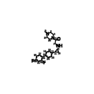 CN1CCN(C(=O)CN[C@@H]2C[C@H]2c2ccc(-c3ccc(F)cc3F)cc2)CC1